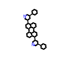 c1ccc(-c2cncc(-c3ccc4c5cccc6c(-c7cncc(-c8ccccc8)c7)ccc(c7cccc3c74)c65)c2)cc1